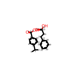 CC(C)c1ccc(C(=O)O)cc1.O=C(O)CCc1ccccc1